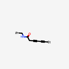 CCC#CC#CCC(=O)NCC(C)C